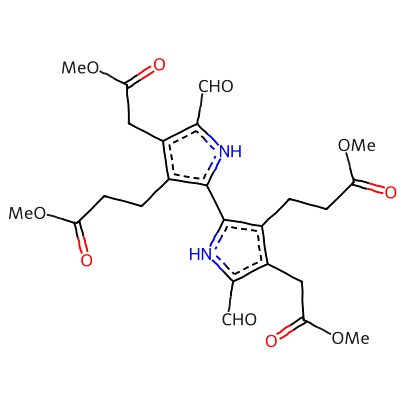 COC(=O)CCc1c(-c2[nH]c(C=O)c(CC(=O)OC)c2CCC(=O)OC)[nH]c(C=O)c1CC(=O)OC